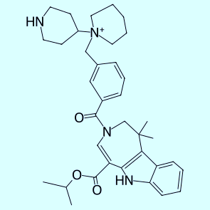 CC(C)OC(=O)C1=CN(C(=O)c2cccc(C[N+]3(C4CCNCC4)CCCCC3)c2)CC(C)(C)c2c1[nH]c1ccccc21